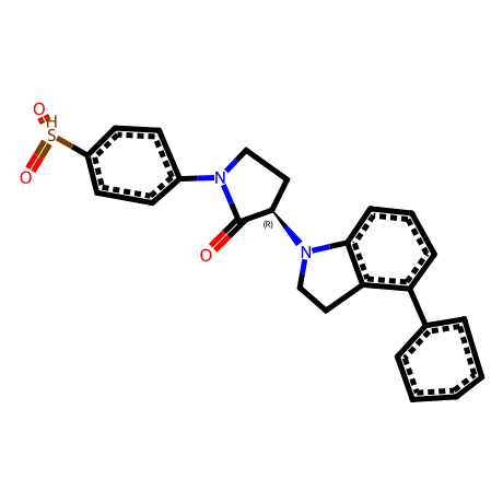 O=C1[C@H](N2CCc3c(-c4ccccc4)cccc32)CCN1c1ccc([SH](=O)=O)cc1